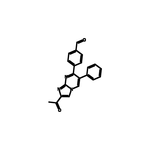 CC(=O)c1cn2cc(-c3ccccc3)c(-c3ccc(C=O)cc3)nc2n1